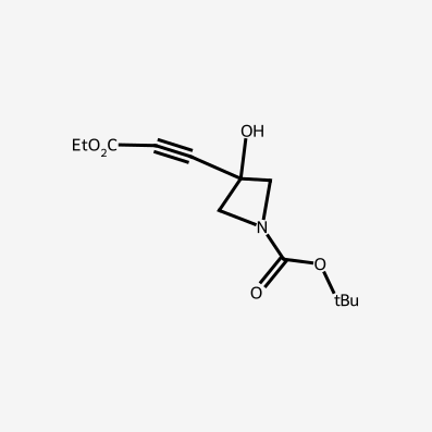 CCOC(=O)C#CC1(O)CN(C(=O)OC(C)(C)C)C1